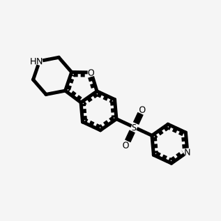 O=S(=O)(c1ccncc1)c1ccc2c3c(oc2c1)CNCC3